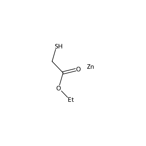 CCOC(=O)CS.[Zn]